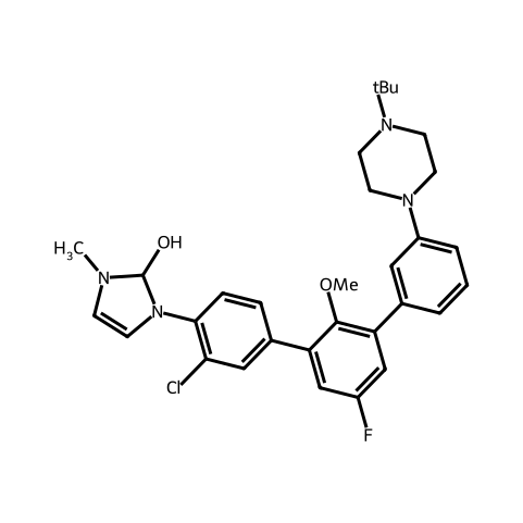 COc1c(-c2cccc(N3CCN(C(C)(C)C)CC3)c2)cc(F)cc1-c1ccc(N2C=CN(C)C2O)c(Cl)c1